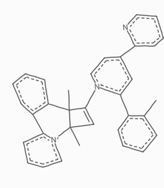 Cc1ccccc1-c1cc(-c2ccccn2)cc[n+]1C1=CC2(C)[n+]3ccccc3-c3ccccc3C12C